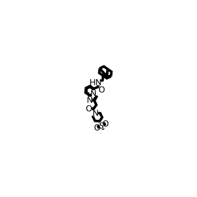 CS(=O)(=O)C1CCN(C(=O)Cc2cn3c(C(=O)NCC45CC6CC(CC(C6)C4)C5)cccc3n2)CC1